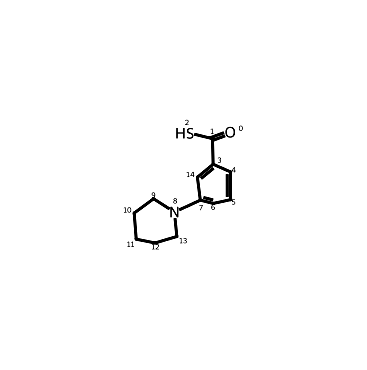 O=C(S)c1cccc(N2CCCCC2)c1